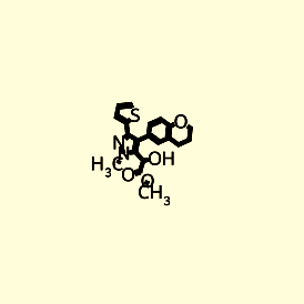 COC(=O)C(O)c1c(-c2ccc3c(c2)CCCO3)c(-c2cccs2)nn1C